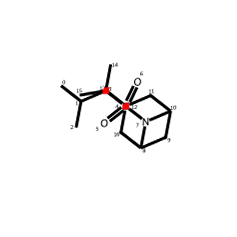 CC(C)CS(=O)(=O)N1C2CC1CN(C(C)C)C2